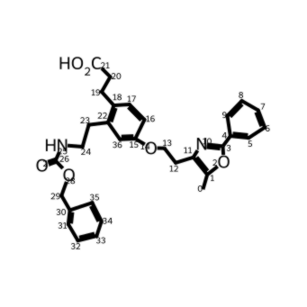 Cc1oc(-c2ccccc2)nc1CCOc1ccc(CCC(=O)O)c(CCNC(=O)OCc2ccccc2)c1